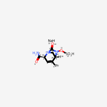 CC(C)C1=C[C@@H](C(N)=O)N2C[C@@H]1N(OS(=O)(=O)O)C2=O.[NaH]